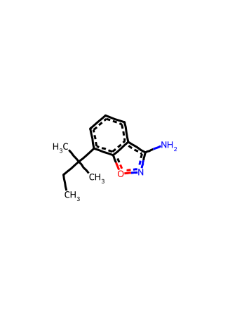 CCC(C)(C)c1cccc2c(N)noc12